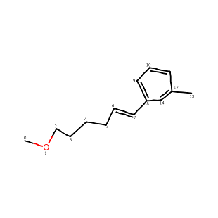 COCCCC/C=C/c1cccc(C)c1